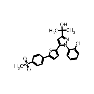 CC(C)(O)c1cc(-c2ccc(-c3ccc(S(C)(=O)=O)cc3)s2)n(-c2ccccc2Cl)n1